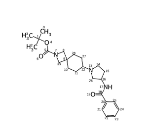 CC(C)(C)OC(=O)N1CC2(CCC(N3CCC(NC(=O)c4ccccc4)C3)CC2)C1